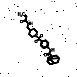 C=CC(=O)NCC1CCN(S(=O)(=O)c2ccc(NC(=O)C34CC5CC(CC(C5)C3)C4)cc2)CC1